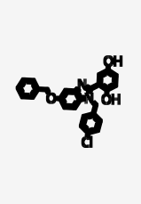 Oc1ccc(O)c(-c2nc3cc(OCc4ccccc4)ccc3n2Cc2ccc(Cl)cc2)c1